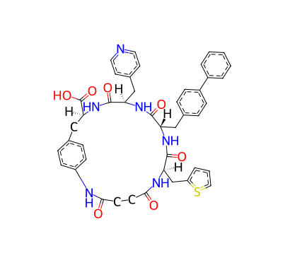 O=C1CCC(=O)N[C@H](Cc2cccs2)C(=O)N[C@@H](Cc2ccc(-c3ccccc3)cc2)C(=O)N[C@H](Cc2ccncc2)C(=O)N[C@H](C(=O)O)Cc2ccc(cc2)N1